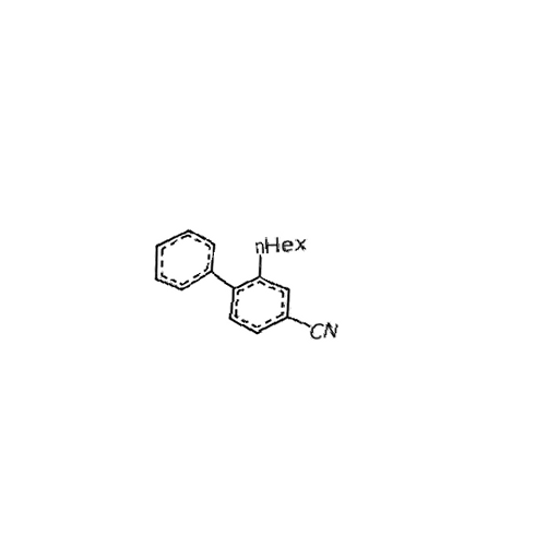 CCCCCCc1cc(C#N)ccc1-c1ccccc1